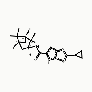 C[C@@H]1[C@@H](NC(=O)c2cc3sc(C4CC4)nc3[nH]2)C[C@H]2C[C@@H]1C2(C)C